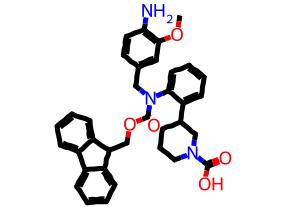 COc1cc(CN(C(=O)OCC2c3ccccc3-c3ccccc32)c2ccccc2C2CCCN(C(=O)O)C2)ccc1N